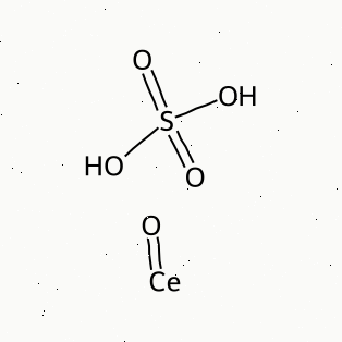 O=S(=O)(O)O.[O]=[Ce]